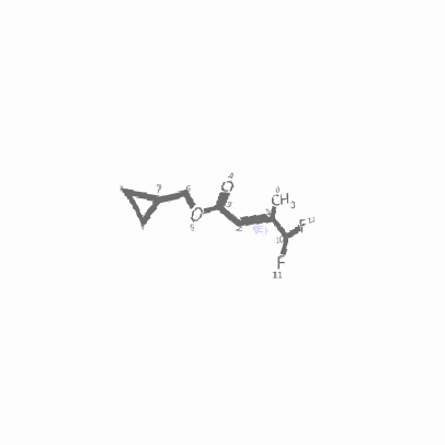 C/C(=C\C(=O)OCC1CC1)C(F)F